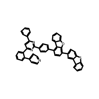 c1ccc(-c2cc(-c3ccccc3-c3ccncc3)nc(-c3ccc(-c4ccc(-c5ccc6sc7ccccc7c6c5)c5oc6ccccc6c45)cc3)n2)cc1